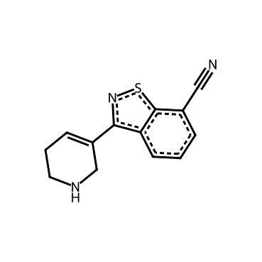 N#Cc1cccc2c(C3=CCCNC3)nsc12